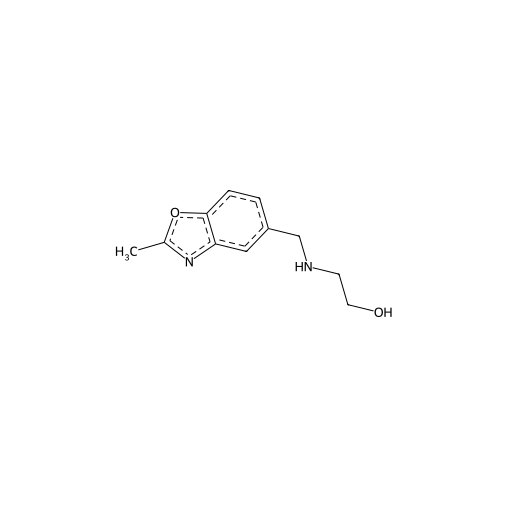 Cc1nc2cc(CNCCO)ccc2o1